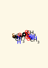 CNC(=O)NS(=O)(=O)c1cc(CC(=O)NC(C)(C)c2ccsc2)ccc1OC